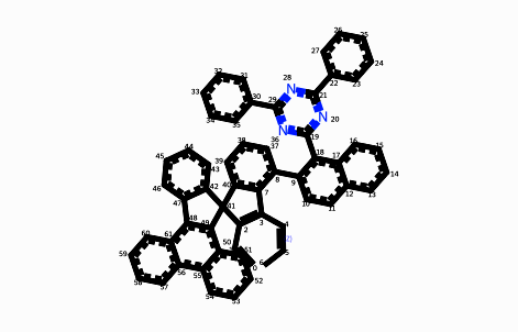 C=CC1=C(/C=C\C)c2c(-c3ccc4ccccc4c3-c3nc(-c4ccccc4)nc(-c4ccccc4)n3)cccc2C12c1ccccc1-c1c2c2ccccc2c2ccccc12